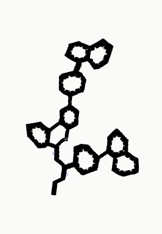 C=C/C=C(\C=C1/Oc2ccc(-c3ccc(-c4cccc5ccccc45)cc3)cc2-c2ccccc21)c1ccc(-c2cccc3ccccc23)cc1